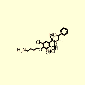 C[C@H](NC(=O)c1cc(Cl)c(OCCCCN)c(Cl)c1O)C(O)c1ccccc1.Cl